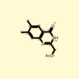 CC(=O)OCc1nc2cc(C)c(C)cc2c(=O)[nH]1